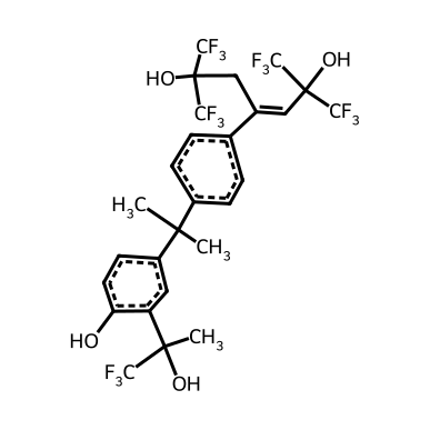 CC(C)(c1ccc(/C(=C/C(O)(C(F)(F)F)C(F)(F)F)CC(O)(C(F)(F)F)C(F)(F)F)cc1)c1ccc(O)c(C(C)(O)C(F)(F)F)c1